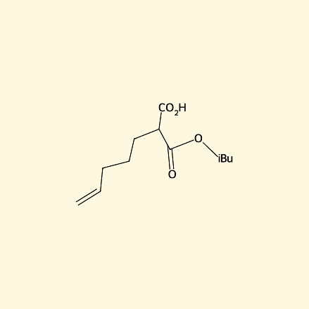 C=CCCCC(C(=O)O)C(=O)OC(C)CC